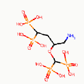 NCC(CC(P(=O)(O)O)P(=O)(O)O)OC(P(=O)(O)O)P(=O)(O)O